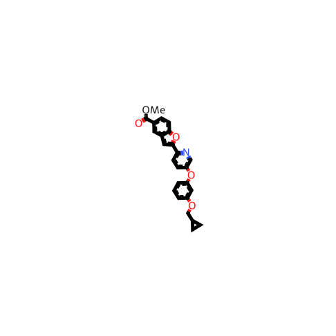 COC(=O)c1ccc2oc(-c3ccc(Oc4cccc(OCC5CC5)c4)cn3)cc2c1